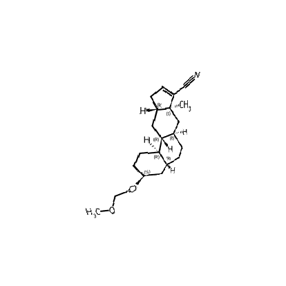 COCO[C@H]1CC[C@@H]2[C@H](CC[C@@H]3C[C@]4(C)C(C#N)=CC[C@H]4C[C@H]32)C1